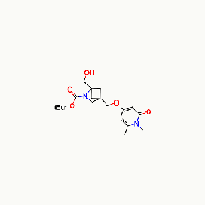 Cc1cc(OCC23CN(C(=O)OC(C)(C)C)C(CO)(C2)C3)cc(=O)n1C